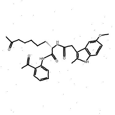 COc1ccc2[nH]c(C)c(CC(=O)N[C@@H](CCCCCC(C)=O)C(=O)Nc3ccccc3C(C)=O)c2c1